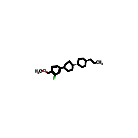 CCC[C@H]1CC[C@H](C2CCC(c3ccc(COC)c(F)c3)CC2)CC1